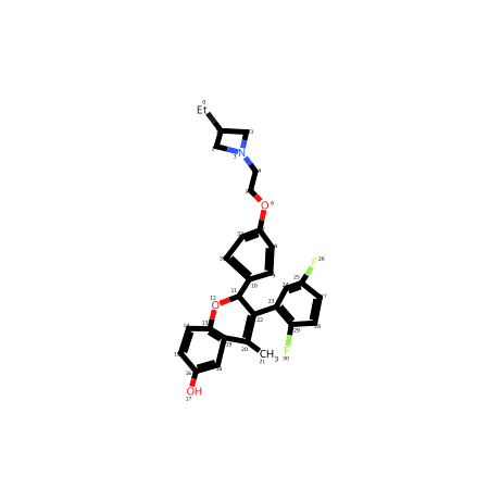 CCC1CN(CCOc2ccc(C3Oc4ccc(O)cc4C(C)=C3c3cc(F)ccc3F)cc2)C1